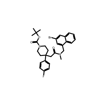 CN(Cc1cc(Br)cc2ccccc12)C(=O)CC1(c2ccc(F)cc2)CCN(C(=O)OC(C)(C)C)CC1